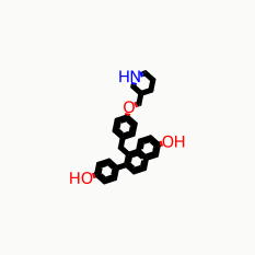 Oc1ccc(-c2ccc3cc(O)ccc3c2Cc2ccc(OCC3CCCNC3)cc2)cc1